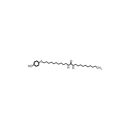 CCCCCCCCCCNC(=O)NCCCCCCCCCCSc1ccc(O)cc1